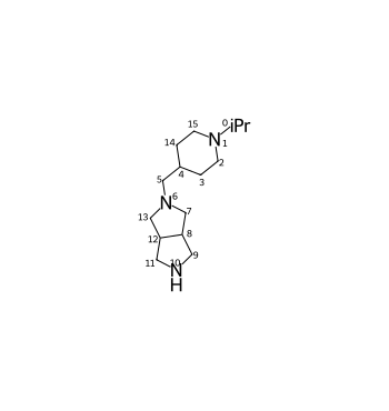 CC(C)N1CCC(CN2CC3CNCC3C2)CC1